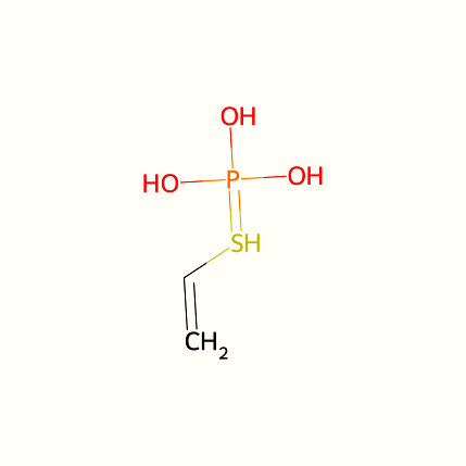 C=C[SH]=P(O)(O)O